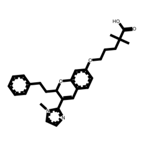 Cn1ccnc1C1=Cc2ccc(OCCCC(C)(C)C(=O)O)cc2OC1CCc1ccccc1